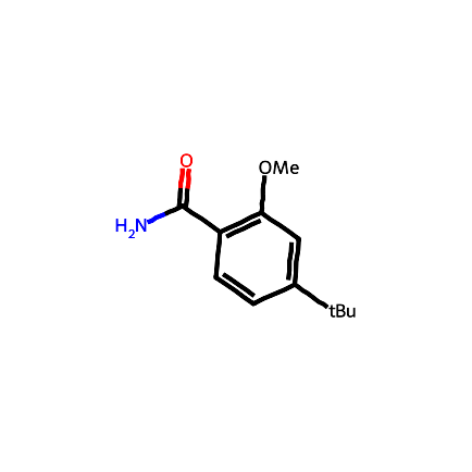 COc1cc(C(C)(C)C)ccc1C(N)=O